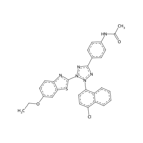 CCOc1ccc2nc(-[n+]3nc(-c4ccc(NC(C)=O)cc4)nn3-c3ccc(Cl)c4ccccc34)sc2c1